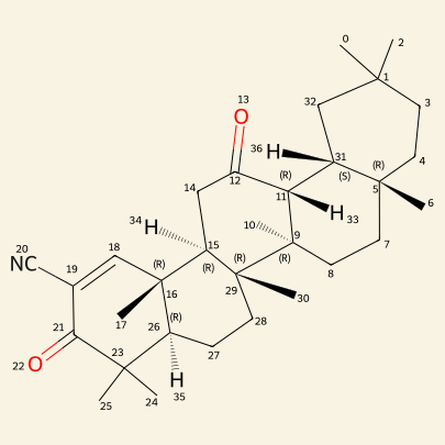 CC1(C)CC[C@]2(C)CC[C@]3(C)[C@H](C(=O)C[C@@H]4[C@@]5(C)C=C(C#N)C(=O)C(C)(C)[C@@H]5CC[C@]43C)[C@@H]2C1